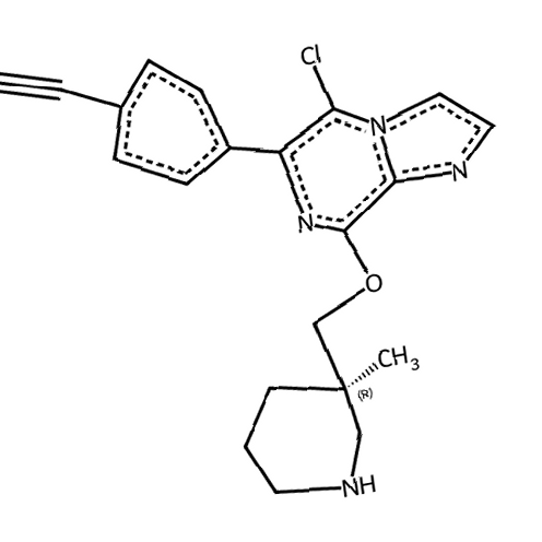 C[C@@]1(COc2nc(-c3ccc(C#N)cc3)c(Cl)n3ccnc23)CCCNC1